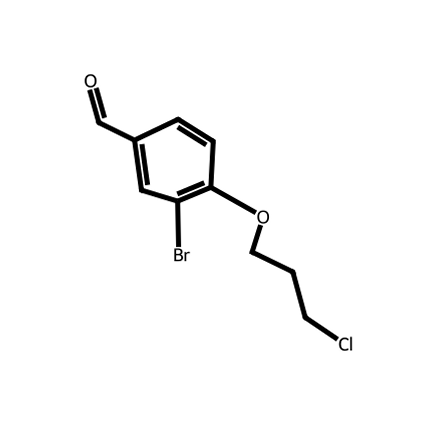 O=Cc1ccc(OCCCCl)c(Br)c1